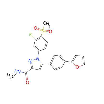 CNC(=O)c1cc(-c2ccc(-c3ccco3)cc2)n(-c2ccc(S(C)(=O)=O)c(F)c2)n1